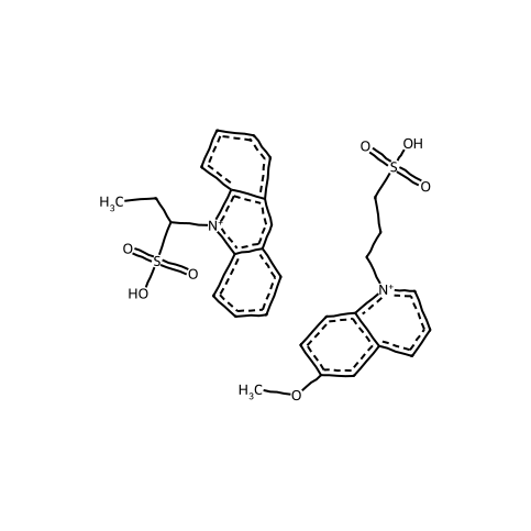 CCC([n+]1c2ccccc2cc2ccccc21)S(=O)(=O)O.COc1ccc2c(ccc[n+]2CCCS(=O)(=O)O)c1